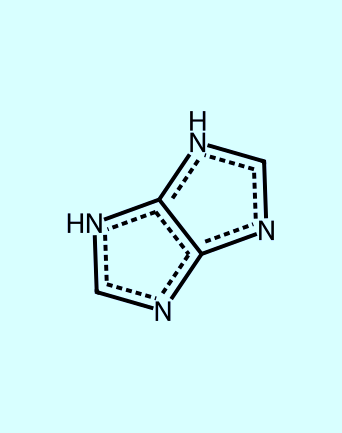 c1nc2nc[nH]c2[nH]1